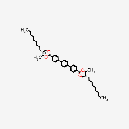 CCCCCCCCC[C@@H]1CO[C@@H](c2ccc(-c3ccc(-c4ccc([C@@H]5OC[C@@H](CCCCCCCCC)C(C)O5)cc4)cc3)cc2)OC1C